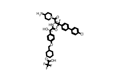 NC1CCN(C(=O)[C@@H](NC(=O)[C@@H](O)c2ccc(OCC3CCCCC3)cc2)C(F)(F)c2ccc(-c3ccc(Cl)cc3)cc2)CC1.O=C(O)C(F)(F)F